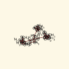 CC(=O)N[C@H]1[C@H](OCCCCCCNC(=O)CCOC2[C@H](OCCC(=O)NCCCCCCO[C@@H]3O[C@H](COC(C)=O)[C@H](OC(C)=O)[C@H](OC(C)=O)[C@H]3NC(C)=O)CC(C(=O)N(C)CCCCCC(=O)O)C[C@H]2OCCC(=O)NCCCCCCO[C@@H]2O[C@H](COC(C)=O)[C@H](OC(C)=O)[C@H](OC(C)=O)[C@H]2NC(C)=O)O[C@H](COC(C)=O)[C@H](OC(C)=O)[C@@H]1OC(C)=O